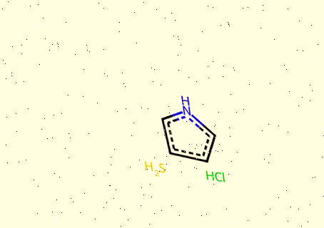 Cl.S.c1cc[nH]c1